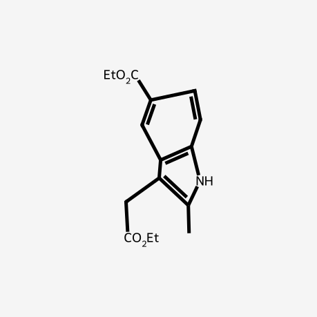 CCOC(=O)Cc1c(C)[nH]c2ccc(C(=O)OCC)cc12